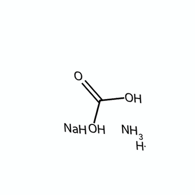 N.O=C(O)O.[H].[NaH]